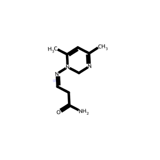 CC1=CC(C)=NCN1/N=C\CC(N)=O